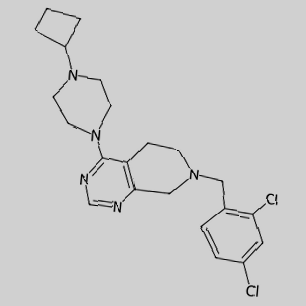 Clc1ccc(CN2CCc3c(ncnc3N3CCN(C4CCC4)CC3)C2)c(Cl)c1